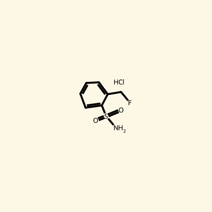 Cl.NS(=O)(=O)c1ccccc1CF